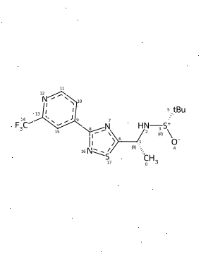 C[C@@H](N[S@@+]([O-])C(C)(C)C)c1nc(-c2ccnc(C(F)(F)F)c2)ns1